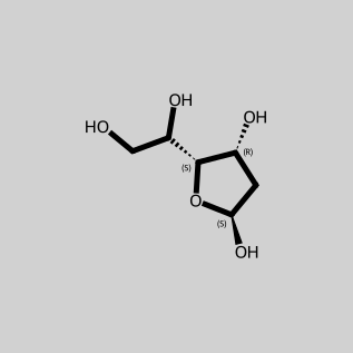 OCC(O)[C@H]1O[C@H](O)C[C@H]1O